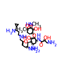 CN[C@@H]1[C@@H](O)[C@@H](O[C@@H]2[C@@H](O)[C@H](C3OC(CNCCC(N)C4CC4)=CC[C@H]3N)[C@@H](N)C[C@H]2NC(=O)[C@@H](O)CN)CC[C@]1(C)O